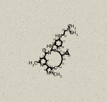 Cc1cc2cc(n1)-c1cnn(C)c1OCCCC(C1CC1)CN1/C(=N/C2=O)Nc2cc(NCCN(C)C)ccc21